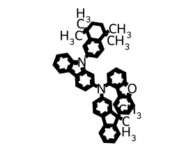 CC1(C)CCC(C)(C)c2cc(-n3c4ccccc4c4ccc(N(c5ccc6c(c5)C(C)(C)c5ccccc5-6)c5cccc6oc7ccccc7c56)cc43)ccc21